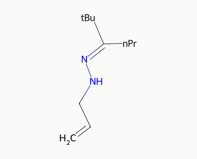 C=CCN/N=C(\CCC)C(C)(C)C